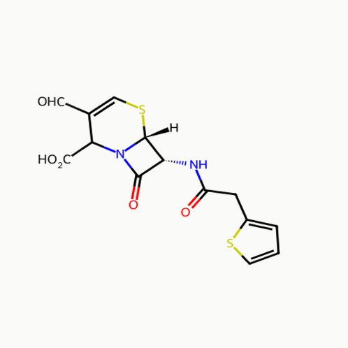 O=CC1=CS[C@@H]2[C@H](NC(=O)Cc3cccs3)C(=O)N2C1C(=O)O